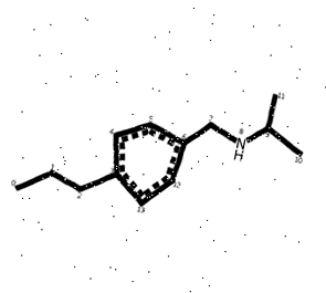 CCCc1ccc(CNC(C)C)cc1